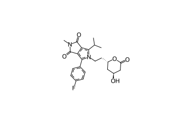 CC(C)c1c2c(c(-c3ccc(F)cc3)n1CC[C@H]1C[C@H](O)CC(=O)O1)C(=O)N(C)C2=O